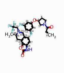 C=CC(=O)N1CC[C@H](Oc2cc(F)c([C@@H]3c4ccc5[nH]c(=O)oc5c4C[C@@H](C)N3CC(F)(F)F)c(F)c2)C1